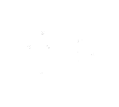 CC(C)[Si](OCc1cnc(C=O)n1CC1CCO1)(C(C)C)C(C)C